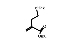 C=C(CCCCCCCC)C(=O)OCC(C)C